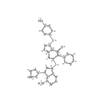 Nc1ncnc2c1c(-c1cn[nH]c1)nn2Cc1nn2ccc(Sc3ccc(O)cc3)c2c(=O)n1-c1ccccc1